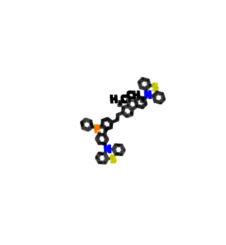 CC1(C)c2cc(/C=C/c3ccc4c(c3)c3cc(N5c6ccccc6Sc6ccccc65)ccc3p4-c3ccccc3)ccc2-c2ccc(N3c4ccccc4Sc4ccccc43)cc21